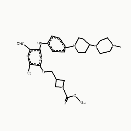 CCc1nc(C=O)c(Nc2ccc(N3CCC(N4CCN(C)CC4)CC3)cc2)nc1OCC1CN(C(=O)OC(C)(C)C)C1